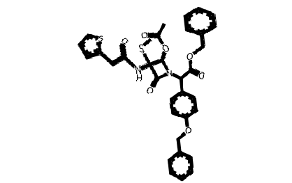 CSC1(NC(=O)Cc2cccs2)C(=O)N(C(C(=O)OCc2ccccc2)c2ccc(OCc3ccccc3)cc2)C1OC(C)=O